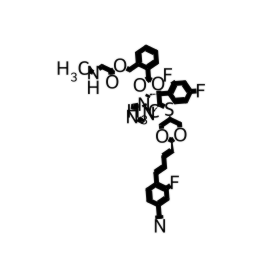 CNCC(=O)OCc1ccccc1C(=O)O[C@@](Cn1cncn1)(c1ccc(F)cc1F)[C@@H](C)S[C@H]1CO[C@H](C=CC=Cc2ccc(C#N)cc2F)OC1